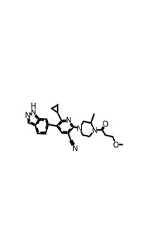 COCCC(=O)N1CCN(c2nc(C3CC3)c(-c3ccc4cn[nH]c4c3)cc2C#N)CC1C